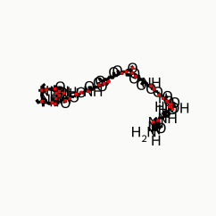 C=Cc1c(C)c2cc3nc(c(CC(=O)O)c4[nH]c(cc5nc(cc1[nH]2)C(C)=C5CC)c(C)c4C(=O)O)[C@@H](CCC(=O)NCCOCCOCCNC(=O)CCCC(=O)Oc1ccc(/C=C/C(=O)CC(=O)/C=C/c2ccc(OC(=O)CCCC(=O)NCCOCCOCCNC(=O)COC(NC(=O)c4ccc(NCc5cnc6nc(N)[nH]c(=O)c6n5)cc4)C(=O)O)c(OC)c2)cc1OC)C3C